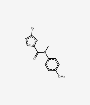 COc1ccc(N(C)C(=O)c2cnc(Br)s2)cc1